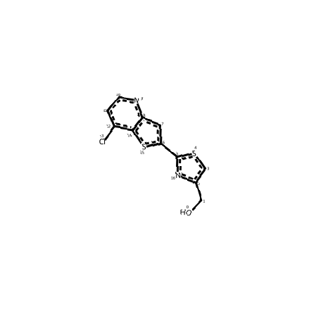 OCc1csc(-c2cc3nccc(Cl)c3s2)n1